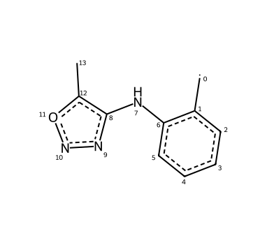 [CH2]c1ccccc1Nc1nnoc1C